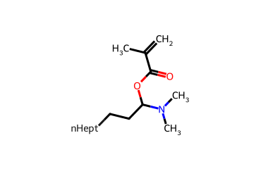 C=C(C)C(=O)OC(CCCCCCCCC)N(C)C